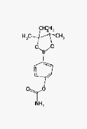 CC1(C)OB(c2ccc(OC(N)=O)cc2)OC1(C)C